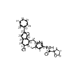 Cc1cc(NC(=O)[C@H]2CCCO2)nn1Cc1cc(Cl)cc2cc(-c3ccccc3)oc12